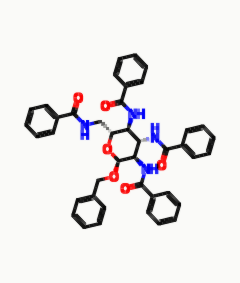 O=C(NC[C@H]1O[C@H](OCc2ccccc2)[C@H](NC(=O)c2ccccc2)[C@@H](NC(=O)c2ccccc2)[C@@H]1NC(=O)c1ccccc1)c1ccccc1